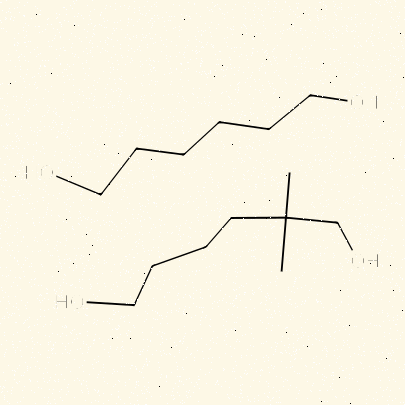 CC(C)(CO)CCCCO.OCCCCCCO